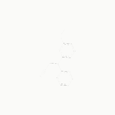 COc1cccc(C(CC#N)c2ccccn2)c1